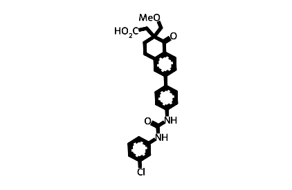 COCC1(CC(=O)O)CCc2cc(-c3ccc(NC(=O)Nc4cccc(Cl)c4)cc3)ccc2C1=O